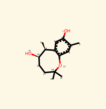 Cc1cc2c(cc1O)[C@H](C)[C@H](O)CCC(C)(C)O2